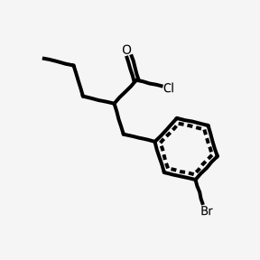 CCCC(Cc1cccc(Br)c1)C(=O)Cl